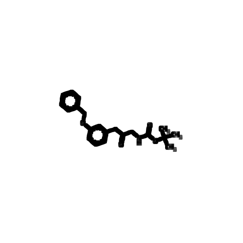 CC(C)(C)OC(=O)NCC(=O)Cc1cccc(OCc2ccccc2)c1